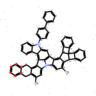 N#Cc1cc2c(c3c1C1c4ccccc4C3c3ccccc31)c1c3c4ccccc4n(-c4ccc(-c5ccccc5)cc4)c3cc3c4c5c(c(C#N)cc4n2c31)C1c2ccccc2C12c1ccccc1C52